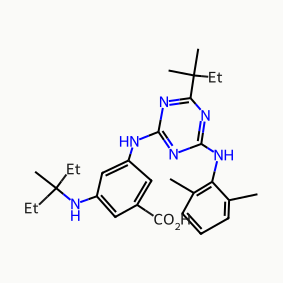 CCC(C)(CC)Nc1cc(Nc2nc(Nc3c(C)cccc3C)nc(C(C)(C)CC)n2)cc(C(=O)O)c1